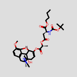 CCCCOC(=O)[C@H](CC(=O)O[C@@H](C)C(=O)OC1=CC[C@@]2(O)[C@H]3Cc4ccc(OC)c5c4[C@@]2(CCN3C)[C@H]1O5)NC(=O)OC(C)(C)C